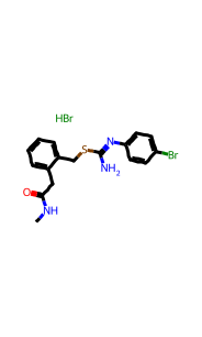 Br.CNC(=O)Cc1ccccc1CS/C(N)=N/c1ccc(Br)cc1